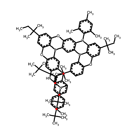 CCC(C)(C)c1cc2c3c(c1)Oc1cc4c(cc1B3c1cc3c(cc1O2)Nc1cc(C(C)(C)CC)cc2c1B3c1cc(C(C)(C)C)ccc1N2c1ccc(C(C)(C)C)cc1)B1c2cc(C(C)(C)C)ccc2Oc2cc(C(C)(C)CC)cc(c21)N4c1c(C)cc(C)cc1C